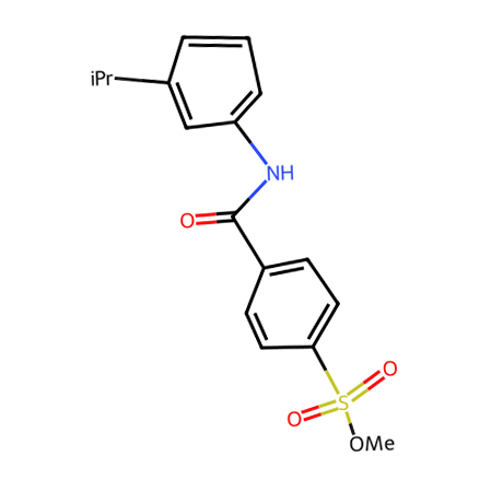 COS(=O)(=O)c1ccc(C(=O)Nc2cccc(C(C)C)c2)cc1